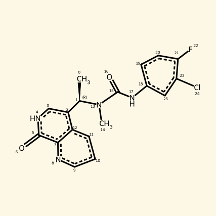 C[C@H](c1c[nH]c(=O)c2ncccc12)N(C)C(=O)Nc1ccc(F)c(Cl)c1